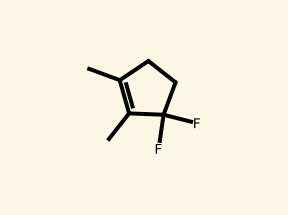 CC1=C(C)C(F)(F)CC1